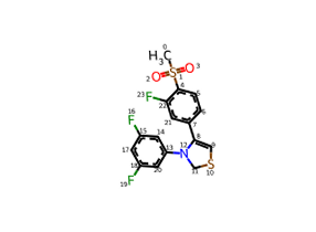 CS(=O)(=O)c1ccc(C2=CSCN2c2cc(F)cc(F)c2)cc1F